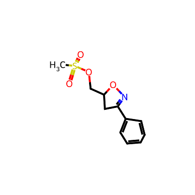 CS(=O)(=O)OCC1CC(c2ccccc2)=NO1